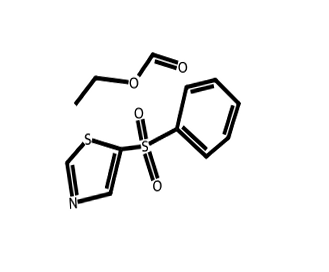 CCOC=O.O=S(=O)(c1ccccc1)c1cncs1